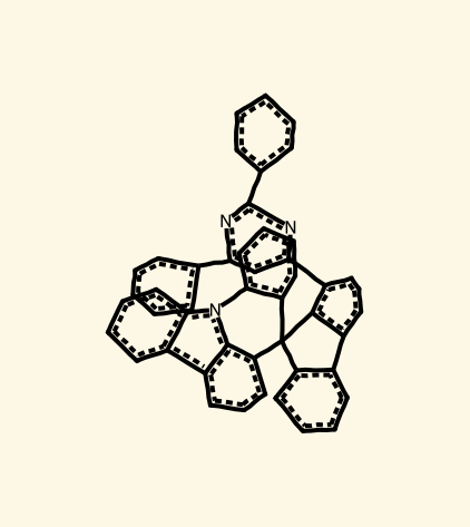 c1ccc(-c2cc(-c3cccc4c3C3(c5ccccc5-4)c4ccccc4-n4c5ccccc5c5cccc3c54)nc(-c3ccccc3)n2)cc1